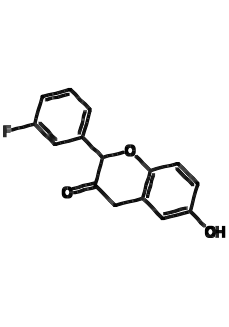 O=C1Cc2cc(O)ccc2OC1c1cccc(F)c1